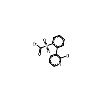 CCC(=O)S(=O)(=O)c1ccccc1-c1cccnc1Cl